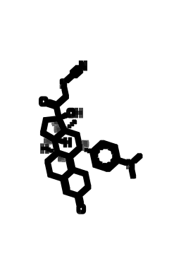 CN(C)c1ccc([C@H]2C[C@@]3(C)[C@@H](CC[C@]3(O)C(=O)CSC#N)[C@@H]3CCC4=CC(=O)CCC4=C32)cc1